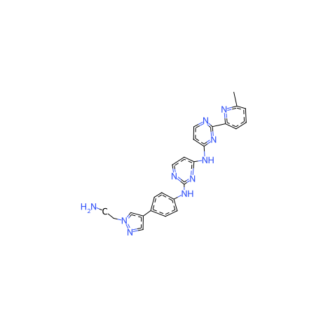 Cc1cccc(-c2nccc(Nc3ccnc(Nc4ccc(-c5cnn(CCN)c5)cc4)n3)n2)n1